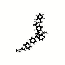 Nc1ncnc2c1c(-c1ccc3c(ccn3Cc3ccccc3Cl)c1)nn2[C@H]1CC[C@@H](N2CCN(CCO)CC2)CC1